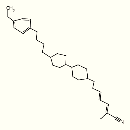 CCc1ccc(CCCCC2CCC(C3CCC(CCC=CC=C(F)C#N)CC3)CC2)cc1